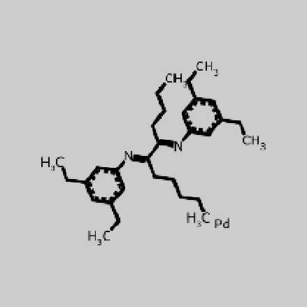 CCCCCC(=N\c1cc(CC)cc(CC)c1)/C(CCCC)=N/c1cc(CC)cc(CC)c1.[Pd]